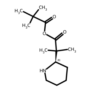 CC(C)(C)C(=O)OC(=O)C(C)(C)[C@H]1CCCCN1